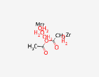 CC(=O)OC(C)=O.O.O.O.O.[Mn].[Zr]